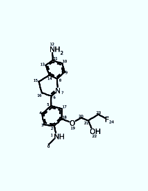 CNc1ccc(C2=Nc3ccc(N)cc3CC2)cc1OCC(O)CF